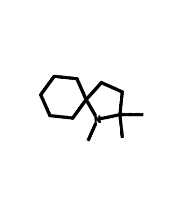 CN1C(C)(C)CCC12CCCCC2